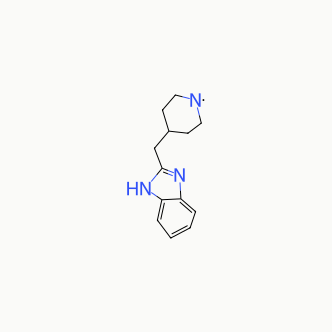 c1ccc2[nH]c(CC3CC[N]CC3)nc2c1